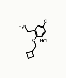 Cl.NCc1cc(Cl)ccc1OCC1CCC1